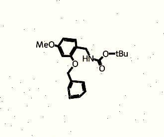 COc1ccc(CNC(=O)OC(C)(C)C)c(OCc2ccccc2)c1